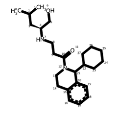 CC(C)C[C@@H](CO)NCCC(=O)N1CCc2ccccc2C1C1CCCCC1